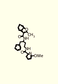 COc1cccc(C(=O)NCCC(Cc2ccccc2)NC(=O)c2c(C)oc3ccccc23)n1